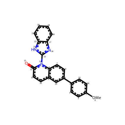 COc1ccc(-c2ccc3c(ccc(=O)n3-c3nc4ccccc4[nH]3)c2)cc1